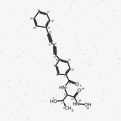 C[C@@H](O)C(NC(=O)c1ccc(C#CC#Cc2ccccc2)cc1)C(=O)NO